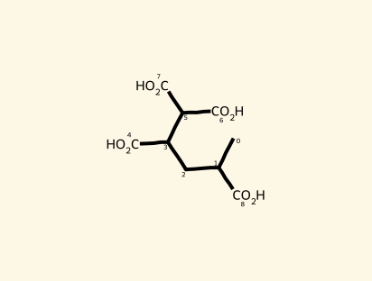 CC(CC(C(=O)O)C(C(=O)O)C(=O)O)C(=O)O